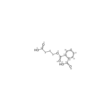 O=C(O)CCCOC(=O)c1ccccc1C(=O)O